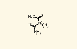 CC(=S)N(C)C(N)=S